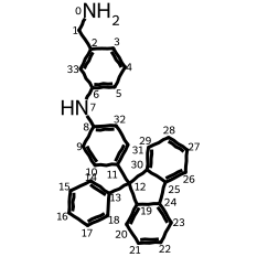 NCc1cccc(Nc2ccc(C3(c4ccccc4)c4ccccc4-c4ccccc43)cc2)c1